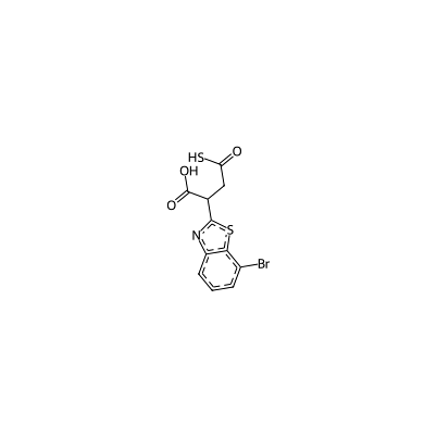 O=C(S)CC(C(=O)O)c1nc2cccc(Br)c2s1